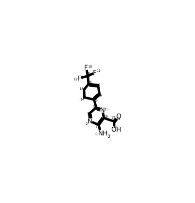 Nc1ncc(C2=CC=C(C(F)(F)F)CC2)nc1C(=O)O